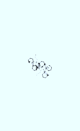 CCCCC(c1ccccn1)(c1ccccn1)c1cccc(C(CCCC)(c2ccccn2)c2ccccn2)n1